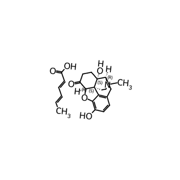 CC=CC=CC(=O)O.CN1CC[C@]23c4c5ccc(O)c4O[C@H]2C(=O)CC[C@@]3(O)[C@H]1C5